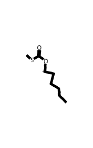 CCCCC[CH]OC(=O)SC